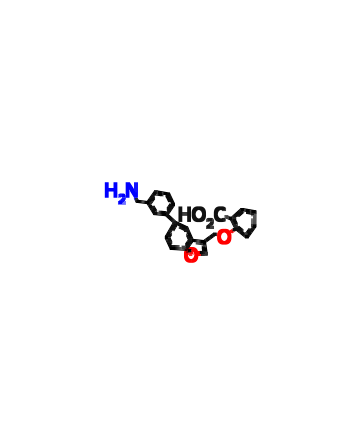 NCc1cccc(-c2ccc3occ(COc4ccccc4C(=O)O)c3c2)c1